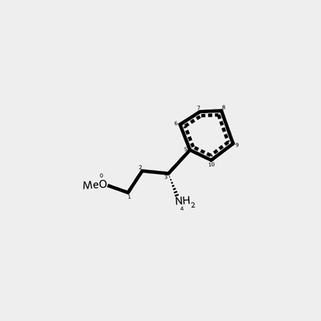 COCC[C@@H](N)c1ccccc1